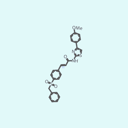 COc1ccc(-c2csc(NC(=O)/C=C/c3ccc(S(=O)(=O)Cc4ccccc4)cc3)n2)cc1